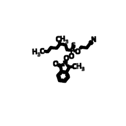 CCCCC(C)CCP(=S)(OCCC#N)OON1C(=O)c2ccccc2C1C